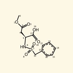 COC(=O)C[C@H](NS(=O)(=O)Cc1ccccc1)C(=O)O